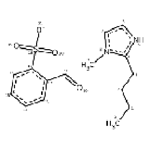 CCCCc1[nH]cc[n+]1C.O=Cc1ccccc1S(=O)(=O)[O-]